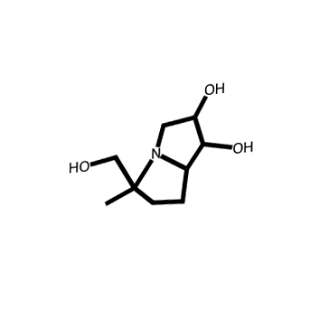 CC1(CO)CCC2C(O)C(O)CN21